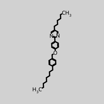 CCCCCCCCc1ccc(COc2ccc(-c3ncc(CCCCCC)cn3)cc2)cc1